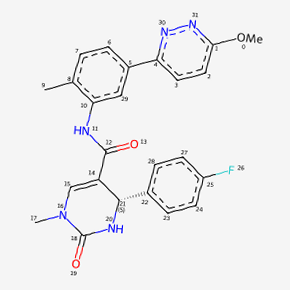 COc1ccc(-c2ccc(C)c(NC(=O)C3=CN(C)C(=O)N[C@H]3c3ccc(F)cc3)c2)nn1